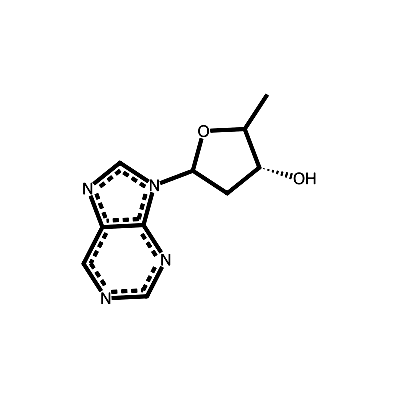 CC1OC(n2cnc3cncnc32)C[C@H]1O